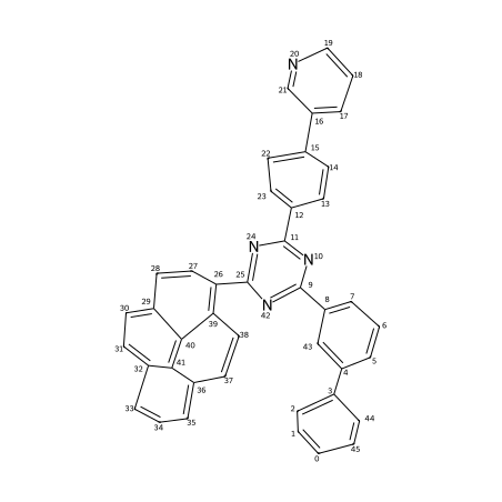 c1ccc(-c2cccc(-c3nc(-c4ccc(-c5cccnc5)cc4)nc(-c4ccc5ccc6cccc7ccc4c5c67)n3)c2)cc1